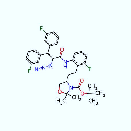 CC(C)(C)OC(=O)N1[C@@H](CCc2c(F)cccc2NC(=O)[C@@H](N=[N+]=[N-])C(c2cccc(F)c2)c2cccc(F)c2)COC1(C)C